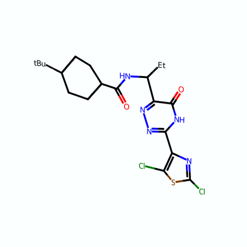 CCC(NC(=O)C1CCC(C(C)(C)C)CC1)c1nnc(-c2nc(Cl)sc2Cl)[nH]c1=O